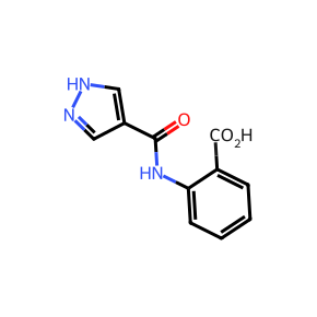 O=C(Nc1ccccc1C(=O)O)c1cn[nH]c1